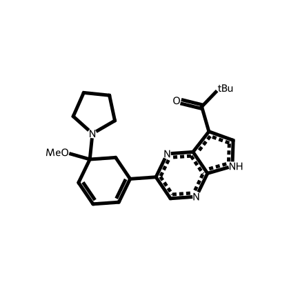 COC1(N2CCCC2)C=CC=C(c2cnc3[nH]cc(C(=O)C(C)(C)C)c3n2)C1